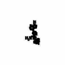 CC(C)(C)S(=O)(=O)N1CC(CN)(n2cc(-c3ccnc4[nH]ccc34)cn2)C1